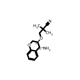 CC(C)(C#N)CO[C@@H]1COc2ccccc2[C@H]1N